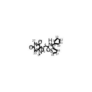 CN1CN(CC(=O)NC(c2ccccc2)c2cccs2)c2c1n(C)c(=O)n(C)c2=O